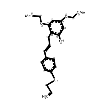 C=CCOc1ccc(C=CCc2c(O)cc(OCOC)cc2OCOC)cc1